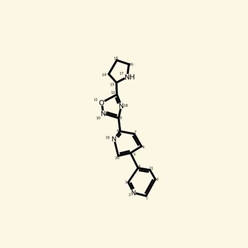 c1cncc(-c2ccc(-c3noc(C4CCCN4)n3)nc2)c1